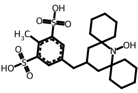 Cc1c(S(=O)(=O)O)cc(CC2CC3(CCCCC3)N(O)C3(CCCCC3)C2)cc1S(=O)(=O)O